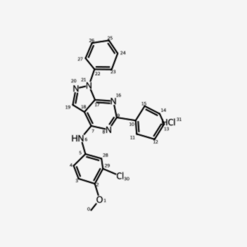 COc1ccc(Nc2nc(-c3ccccc3)nc3c2cnn3-c2ccccc2)cc1Cl.Cl